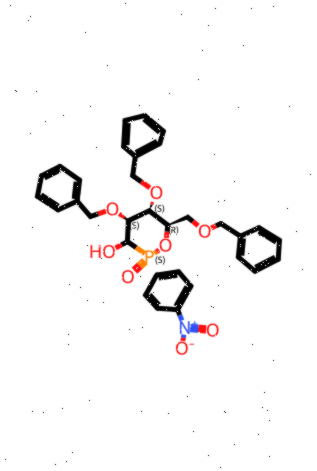 O=[N+]([O-])c1ccc([P@]2(=O)O[C@H](COCc3ccccc3)[C@@H](OCc3ccccc3)[C@H](OCc3ccccc3)C2O)cc1